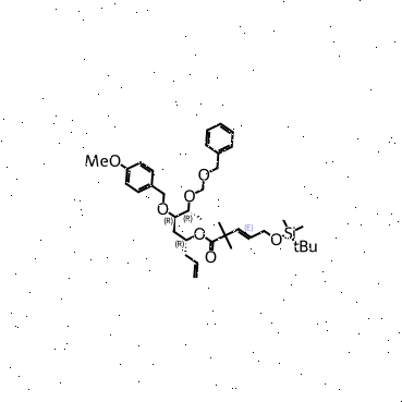 C=CC[C@H](C[C@@H](OCc1ccc(OC)cc1)[C@@H](C)OCOCc1ccccc1)OC(=O)C(C)(C)/C=C/CO[Si](C)(C)C(C)(C)C